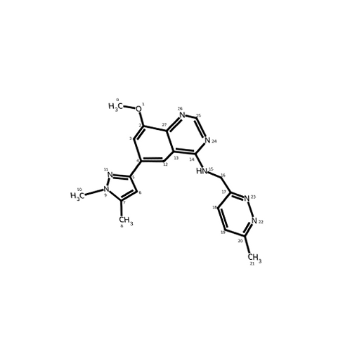 COc1cc(-c2cc(C)n(C)n2)cc2c(NCc3ccc(C)nn3)ncnc12